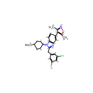 COC1CCC(n2c(Cc3cc(F)cc(F)c3)nc3cc(-c4c(C)noc4C)ccc32)CC1